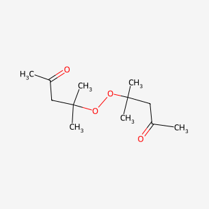 CC(=O)CC(C)(C)OOC(C)(C)CC(C)=O